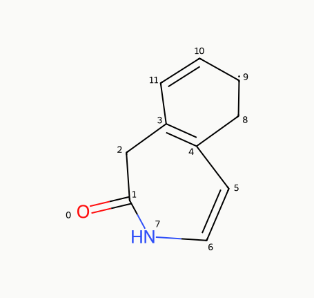 O=C1CC2=C(C=CN1)C[CH]C=C2